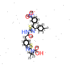 Cc1ccc(-c2nc(NC(=O)Cc3ccc4nc(N(C(=O)O)C(C)(C)C)sc4c3)sc2-c2cccc([N+](=O)[O-])c2)cc1